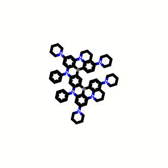 c1ccc(N2c3cc4c(cc3B3c5ccc(N6CCCCC6)c6c5N(CCC6)c5cc(N6CCCCC6)cc2c53)B2c3ccc(N5CCCCC5)c5c3N(CCC5)c3cc(N5CCCCC5)cc(c32)N4c2ccccc2)cc1